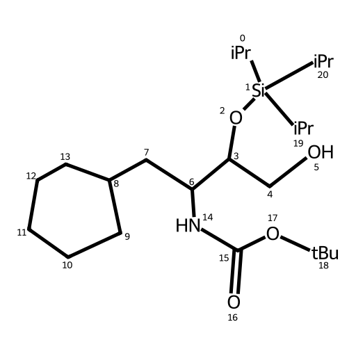 CC(C)[Si](OC(CO)C(CC1CCCCC1)NC(=O)OC(C)(C)C)(C(C)C)C(C)C